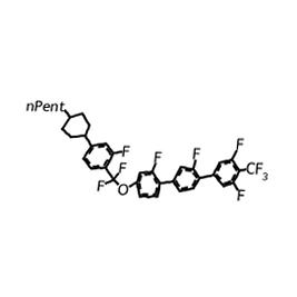 CCCCCC1CCC(c2ccc(C(F)(F)Oc3ccc(-c4ccc(-c5cc(F)c(C(F)(F)F)c(F)c5)c(F)c4)c(F)c3)c(F)c2)CC1